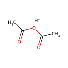 CC(=O)OC(C)=O.[H+]